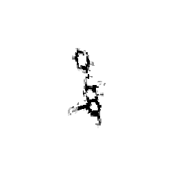 O=c1[nH]c2cc(F)cc(Br)c2nc1OC[C@@H]1COCCN1